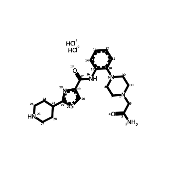 Cl.Cl.NC(=O)CN1CCN(c2ccccc2NC(=O)c2csc(C3CCNCC3)n2)CC1